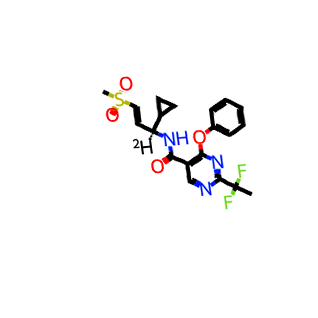 [2H][C@@](/C=C/S(C)(=O)=O)(NC(=O)c1cnc(C(C)(F)F)nc1Oc1ccccc1)C1CC1